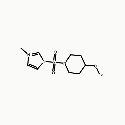 CC(C)OC1CCN(S(=O)(=O)n2cc[n+](C)c2)CC1